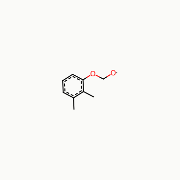 Cc1cccc(OC[O])c1C